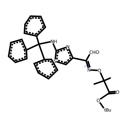 CC(C)(C)OC(=O)C(C)(C)O/N=C(\[C]=O)c1csc(NC(c2ccccc2)(c2ccccc2)c2ccccc2)n1